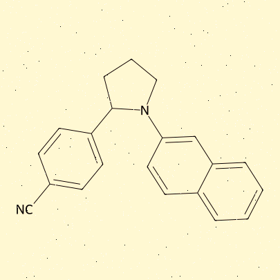 N#Cc1ccc(C2CCCN2c2ccc3ccccc3c2)cc1